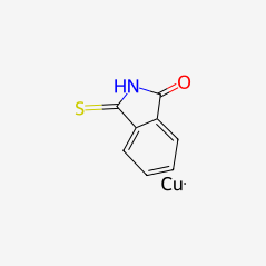 O=C1NC(=S)c2ccccc21.[Cu]